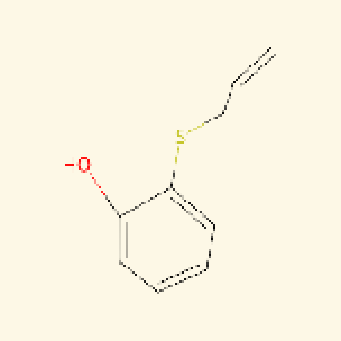 C=CCSc1ccccc1O